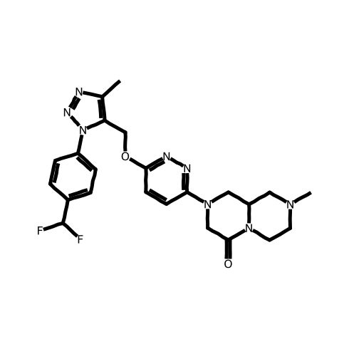 Cc1nnn(-c2ccc(C(F)F)cc2)c1COc1ccc(N2CC(=O)N3CCN(C)CC3C2)nn1